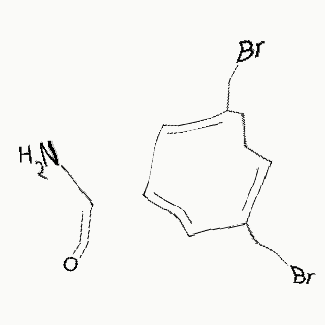 Brc1cccc(Br)c1.NC=O